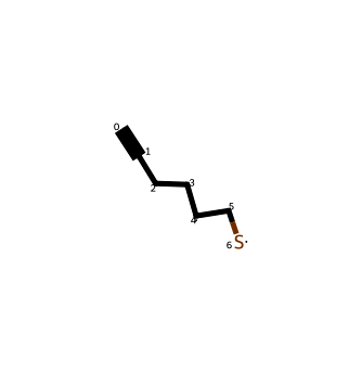 C#CCC[CH]C[S]